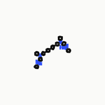 C1=CC2=NN(c3ccccc3)NC2C=C1N(c1ccccc1)c1ccc(-c2ccc(-c3ccc(-c4ccc(N(c5ccccc5)c5ccc6nn(-c7ccccc7)nc6c5)cc4)cc3)cc2)cc1